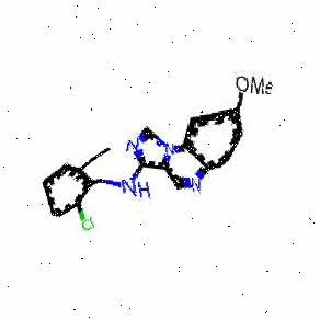 COc1ccc2ncc3c(Nc4c(C)cccc4Cl)ncn3c2c1